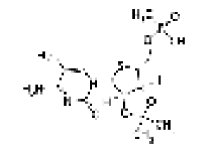 Cc1cn([C@@H]2S[C@H](COP(C)(C)=O)[C@H]3OC(C)(C)O[C@H]32)c(=O)nc1N